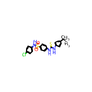 CC(C)c1ccc(NC(=S)Nc2ccc(S(=O)(=O)Nc3ccc(Cl)cc3)cc2)cc1